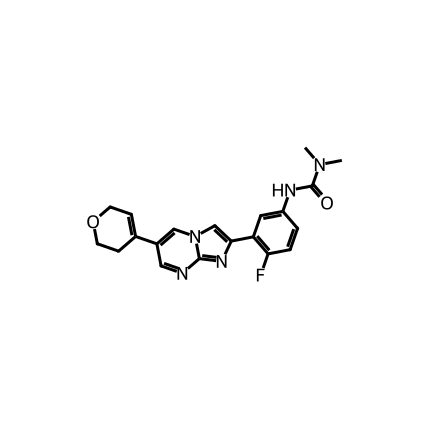 CN(C)C(=O)Nc1ccc(F)c(-c2cn3cc(C4=CCOCC4)cnc3n2)c1